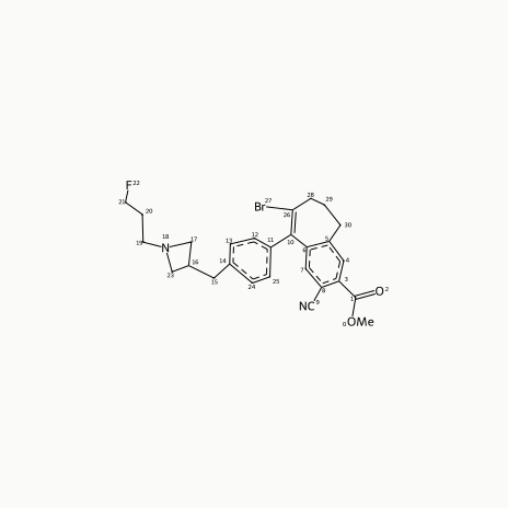 COC(=O)c1cc2c(cc1C#N)C(c1ccc(CC3CN(CCCF)C3)cc1)=C(Br)CCC2